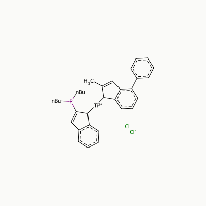 CCCCP(CCCC)C1=Cc2ccccc2[CH]1[Ti+2][CH]1C(C)=Cc2c(-c3ccccc3)cccc21.[Cl-].[Cl-]